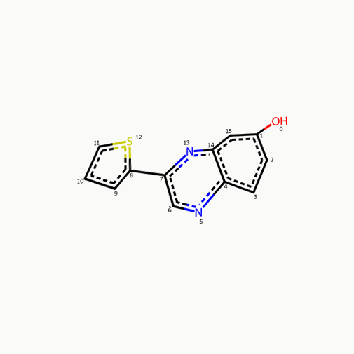 Oc1ccc2n[c]c(-c3cccs3)nc2c1